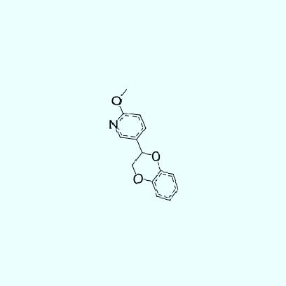 COc1ccc(C2COc3ccccc3O2)cn1